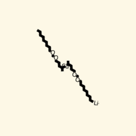 CCCCCCCCCOCOCCC[CH](C)[Cu][CH](C)CCCOCOCCCCCCCCC.[Li]